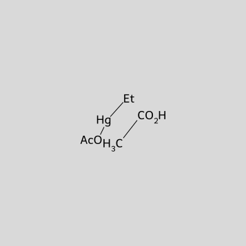 CC(=O)O.C[CH2][Hg][O]C(C)=O